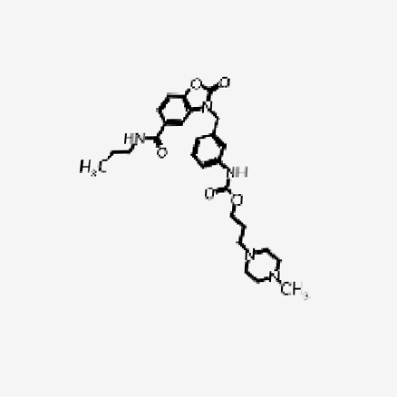 CCCNC(=O)c1ccc2oc(=O)n(Cc3cccc(NC(=O)OCCCN4CCN(C)CC4)c3)c2c1